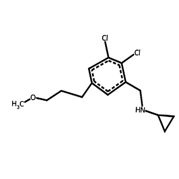 COCCCc1cc(Cl)c(Cl)c(CNC2CC2)c1